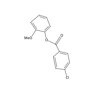 COc1ccccc1OC(=O)c1ccc(Cl)cc1